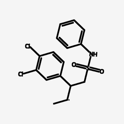 C[CH]C(CS(=O)(=O)Nc1ccccc1)c1ccc(Cl)c(Cl)c1